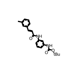 Cc1cccc(/C=C/C(=O)Nc2cccc(NC(=O)OC(C)(C)C)c2)c1